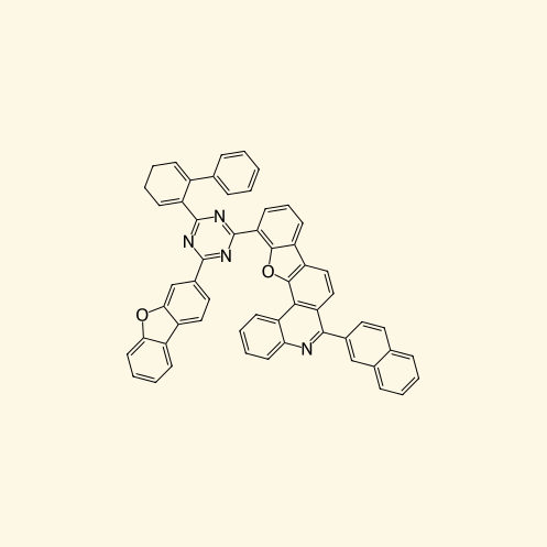 C1=C(c2ccccc2)C(c2nc(-c3ccc4c(c3)oc3ccccc34)nc(-c3cccc4c3oc3c4ccc4c(-c5ccc6ccccc6c5)nc5ccccc5c43)n2)=CCC1